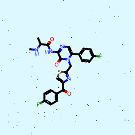 CNC(C)C(=O)Nc1ncc(-c2ccc(F)cc2)n(Cc2nc(C(=O)c3ccc(F)cc3)cs2)c1=O